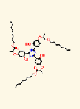 CCCCCCCCOCC(C)Oc1ccc(-c2nc(-c3ccc(OC(C)C(=O)OCCCCCCCC)cc3O)nc(-c3ccc(OC(C)C(=O)OCCCCCCCC)cc3O)n2)c(O)c1